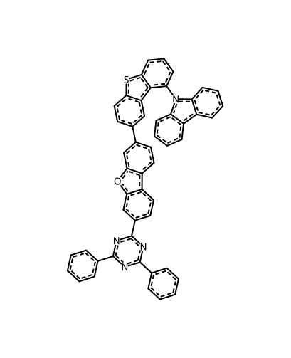 c1ccc(-c2nc(-c3ccccc3)nc(-c3ccc4c(c3)oc3cc(-c5ccc6sc7cccc(-n8c9ccccc9c9ccccc98)c7c6c5)ccc34)n2)cc1